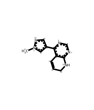 Cn1cc(-c2ncnc3c2C=CCN3)cn1